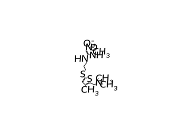 CN/C(=C\[N+](=O)[O-])NCCCSc1cc(C)c(CN(C)C)s1